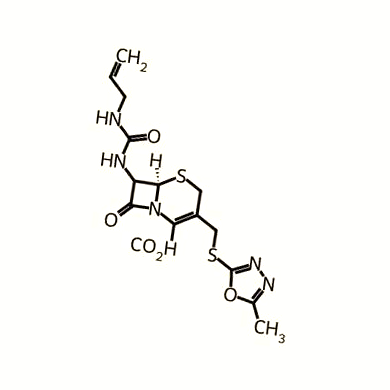 C=CCNC(=O)NC1C(=O)N2C(C(=O)O)=C(CSc3nnc(C)o3)CS[C@H]12